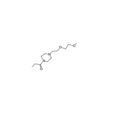 CCC(=O)N1CCN(CCOCCOC)CC1